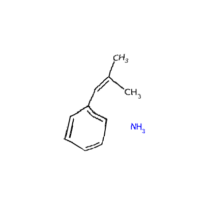 CC(C)=Cc1ccccc1.N